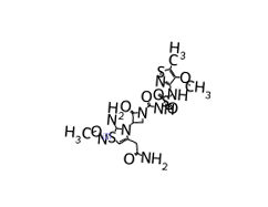 CO/N=S1/C=C(CC(N)=O)N(C2CN(C(=O)NS(=O)(=O)Nc3nsc(C)c3OC)C2=O)C1N